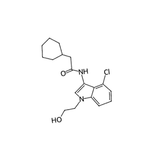 O=C(CC1CCCCC1)Nc1cn(CCO)c2cccc(Cl)c12